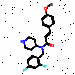 CC(C)Oc1ccc(/C=C/C(=O)N(Cc2ccc(F)cc2F)C2CCNCC2)cc1